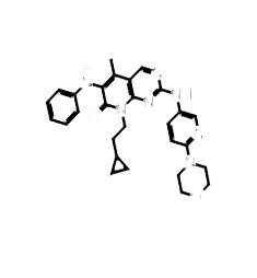 Cc1c(Nc2ccccc2)c(=O)n(CCC2CC2)c2nc(Nc3ccc(N4CCOCC4)nc3)ncc12